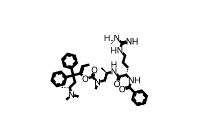 C/C=C(\OC(=O)N(C)C[C@@H](C)NC(=O)[C@H](CCCNC(=N)N)NC(=O)c1ccccc1)C(C[C@@H](C)N(C)C)(c1ccccc1)c1ccccc1